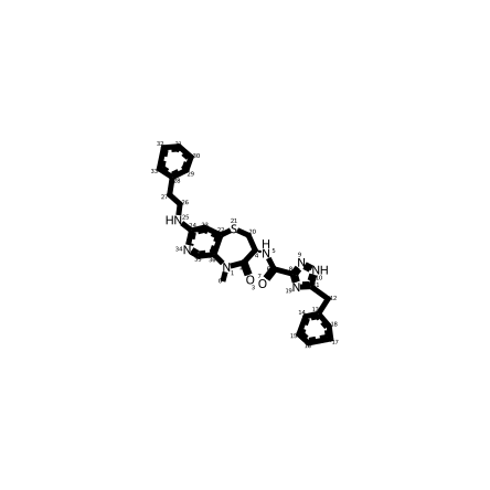 CN1C(=O)[C@@H](NC(=O)c2n[nH]c(Cc3ccccc3)n2)CSc2cc(NCCc3ccccc3)ncc21